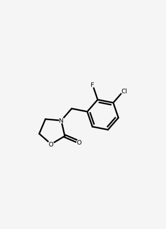 O=C1OCCN1Cc1cccc(Cl)c1F